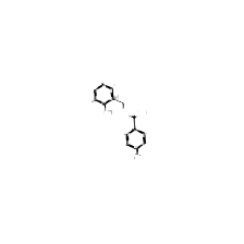 O=C(OCc1ccccc1Cl)c1ccc(O)cc1